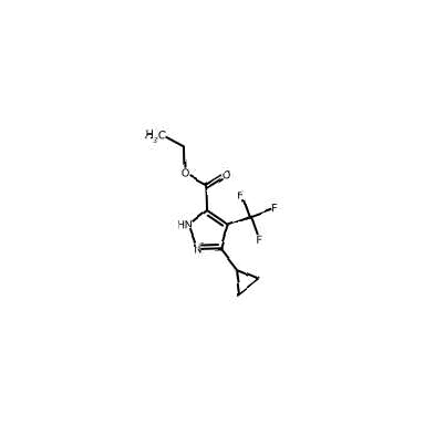 CCOC(=O)c1[nH]nc(C2CC2)c1C(F)(F)F